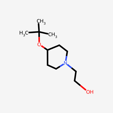 CC(C)(C)OC1CCN(CCO)CC1